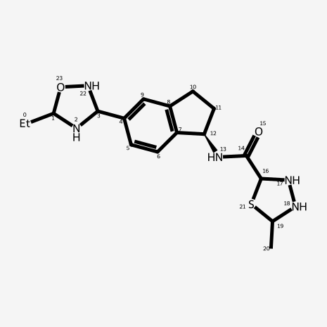 CCC1NC(c2ccc3c(c2)CC[C@H]3NC(=O)C2NNC(C)S2)NO1